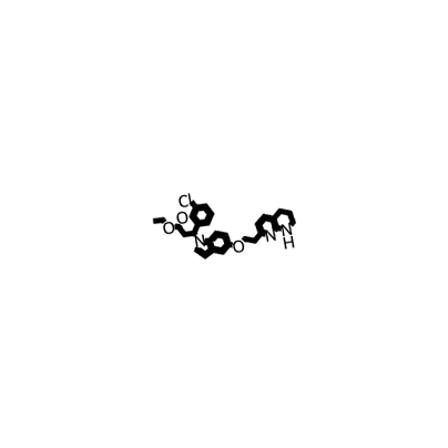 CCOC(=O)CC(c1cccc(Cl)c1)n1ccc2cc(OCCc3ccc4c(n3)NCCC4)ccc21